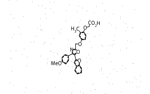 COc1ccc(-c2nc(COc3ccc(OCC(=O)O)c(C)c3)oc2-c2cc3ccccc3o2)cc1